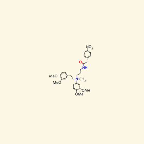 COc1ccc(CC[N+](C)(CCCNC(=O)Cc2ccc([N+](=O)[O-])cc2)c2ccc(OC)c(OC)c2)cc1OC